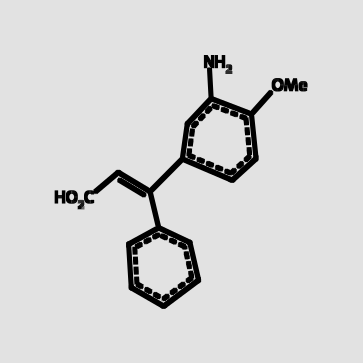 COc1ccc(/C(=C/C(=O)O)c2ccccc2)cc1N